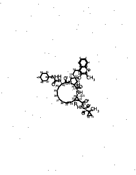 Cc1nc2ccccc2c2c1O[C@]1(CC2)C[C@H]2C(=O)N[C@@]3(I)C(C(=O)NS(=O)(=O)C4(C)CC4)[C@H]3/C=C\CCCCC[C@H](NC(=O)NC3CCCCC3)C(=O)N2C1